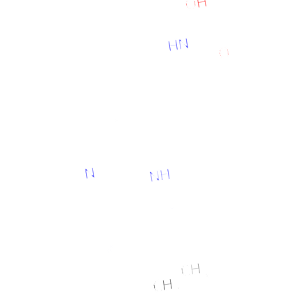 C/C=C\C(=C/C)Nc1nccc2ccc([NH+]([O-])O)cc12